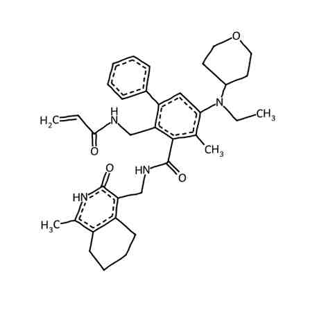 C=CC(=O)NCc1c(-c2ccccc2)cc(N(CC)C2CCOCC2)c(C)c1C(=O)NCc1c2c(c(C)[nH]c1=O)CCCC2